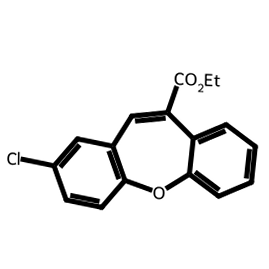 CCOC(=O)C1=Cc2cc(Cl)ccc2Oc2ccccc21